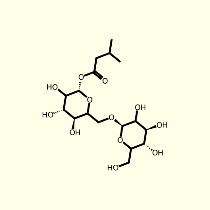 CC(C)CC(=O)O[C@@H]1OC(CO[C@@H]2OC(CO)[C@@H](O)[C@H](O)C2O)[C@@H](O)[C@H](O)C1O